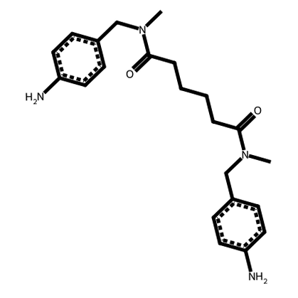 CN(Cc1ccc(N)cc1)C(=O)CCCCC(=O)N(C)Cc1ccc(N)cc1